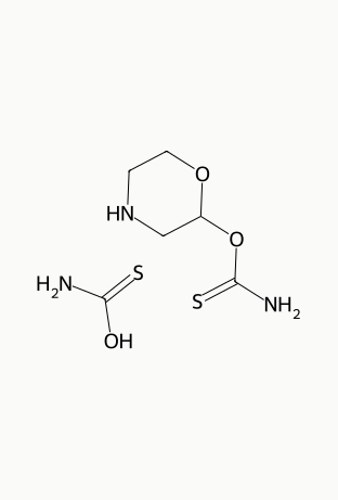 NC(=S)OC1CNCCO1.NC(O)=S